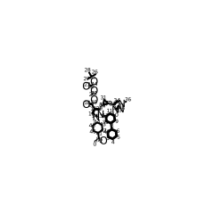 C[C@H](Oc1cccc(-c2cccc(-n3ncc(C(=O)OCOC(=O)OC(C)(C)C)c3[C@@H]3C[C@H]3c3cn(C)nn3)c2)c1)C1CCCCC1